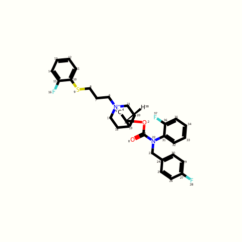 O=C(O[C@H]1C[N+]2(CCCSc3ccccc3F)CCC1CC2)N(Cc1ccc(F)cc1)c1ccccc1F